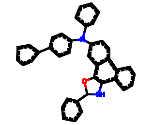 c1ccc(-c2ccc(N(c3ccccc3)c3ccc4c(c3)c3c(c5ccccc54)NC(c4ccccc4)O3)cc2)cc1